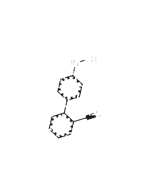 CNc1ccc(-c2ccccc2C#N)cc1